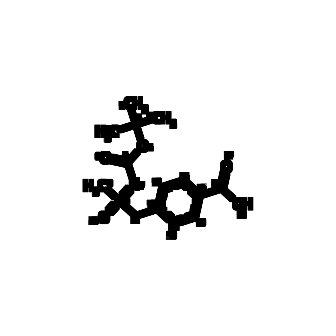 CC(C)(C)OC(=O)N=S(C)(=O)Cc1ccc(C(=O)O)cn1